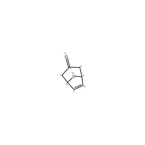 O=C1CC2C=CC(C1)O2